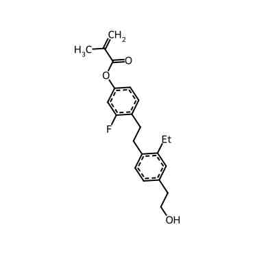 C=C(C)C(=O)Oc1ccc(CCc2ccc(CCO)cc2CC)c(F)c1